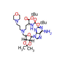 CC(C)(C)OC(=O)N[C@@H](CCN(CCCN1CCOCC1)C[C@H]1O[C@@H](n2cnc3c(N)ncnc32)[C@@H]2OC(C)(C)O[C@@H]21)C(=O)OC(C)(C)C